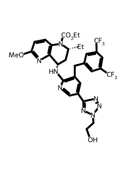 CCOC(=O)N1c2ccc(OC)nc2[C@@H](Nc2ncc(-c3nnn(CCO)n3)cc2Cc2cc(C(F)(F)F)cc(C(F)(F)F)c2)C[C@H]1CC